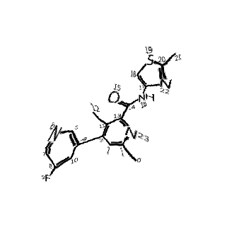 Cc1cc(-c2cncc(F)c2)c(C)c(C(=O)Nc2csc(C)n2)n1